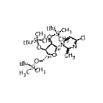 C=C1N=C(Cl)C=CN1[C@@H]1O[C@H](CO[Si](C)(C)C(C)(C)C)C(O[Si](C)(C)C(C)(C)C)C1O[Si](C)(C)C(C)(C)C